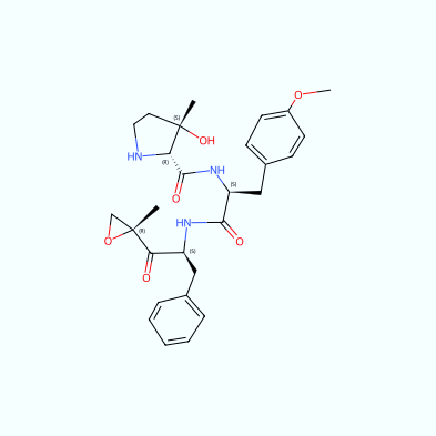 COc1ccc(C[C@H](NC(=O)[C@@H]2NCC[C@]2(C)O)C(=O)N[C@@H](Cc2ccccc2)C(=O)[C@@]2(C)CO2)cc1